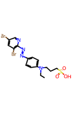 CCN(CCCS(=O)(=O)O)c1ccc(N=Nc2ncc(Br)cc2Br)cc1